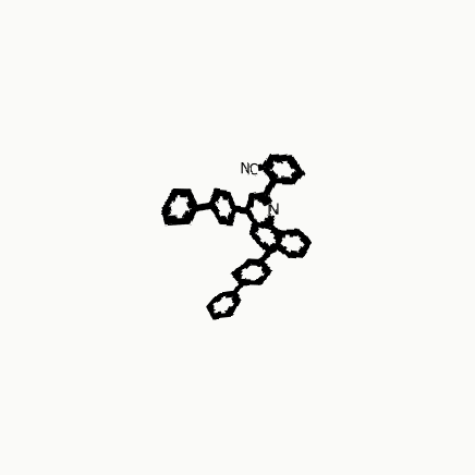 N#Cc1ccccc1-c1cc(-c2ccc(-c3ccccc3)cc2)c2cc(-c3ccc(-c4ccccc4)cc3)c3ccccc3c2n1